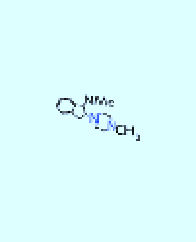 CN[C@@H]1c2ccccc2C[C@H]1N1CCN(C)CC1